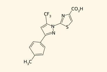 Cc1ccc(-c2cc(C(F)(F)F)n(-c3nc(C(=O)O)cs3)n2)cc1